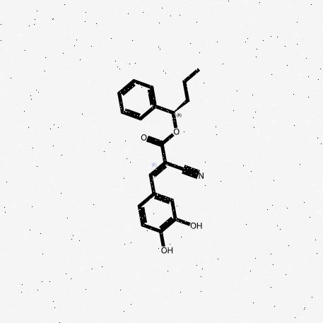 CCC[C@@H](OC(=O)/C(C#N)=C/c1ccc(O)c(O)c1)c1ccccc1